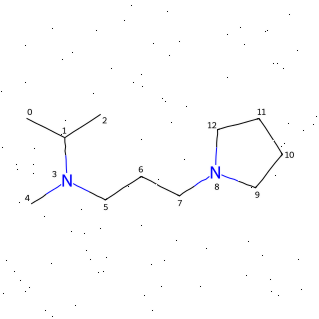 CC(C)N(C)CCCN1CCCC1